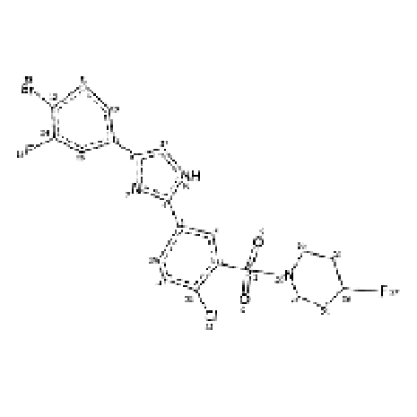 O=S(=O)(c1cc(-c2nc(-c3ccc(Br)c(F)c3)c[nH]2)ccc1Cl)N1CCC(F)CC1